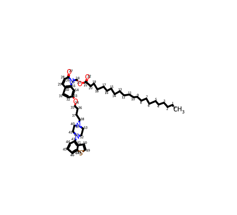 CCCCCCCCCCCCCCCCCCCCCC(=O)OCn1c(=O)ccc2ccc(OCCCCN3CCN(c4cccc5sccc45)CC3)cc21